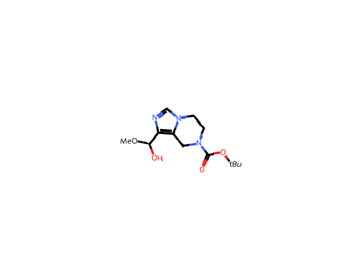 COC(O)c1ncn2c1CN(C(=O)OC(C)(C)C)CC2